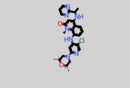 CC(Nc1cc(=O)n(C)c2c(Nc3cc(N4C[C@@H](C)O[C@@H](C)C4)ncc3Cl)cccc12)c1ncccn1